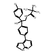 CC(C)(N)C(=O)NCC(O)(c1ccc(Cl)cc1)c1ccc(-c2ccnc3[nH]ccc23)cc1